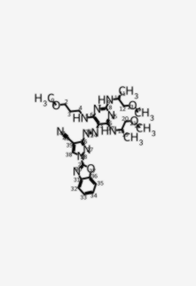 COCCCNc1nc(NC(C)COC)nc(NC(C)COC)c1N=Nc1nn(-c2nc3ccccc3o2)cc1C#N